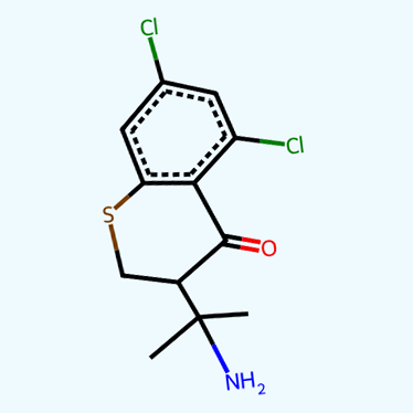 CC(C)(N)C1CSc2cc(Cl)cc(Cl)c2C1=O